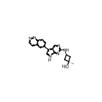 C[C@]1(O)C[C@@H](Nc2ncc3c(-c4ccc5nnccc5c4)c[nH]c3n2)C1